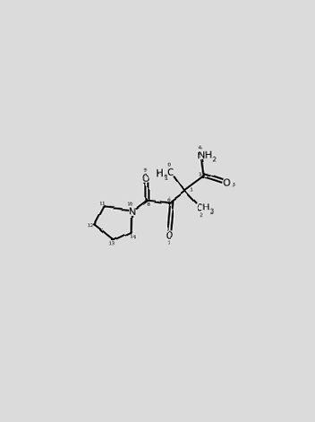 CC(C)(C(N)=O)C(=O)C(=O)N1CCCC1